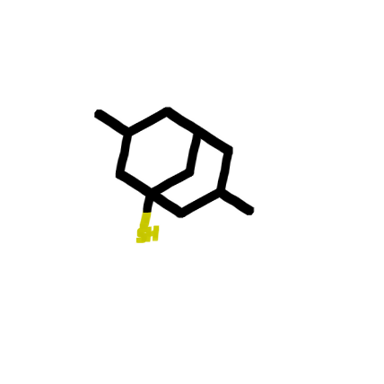 CC1CC2CC(C)CC(S)(C1)C2